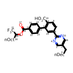 CCCCCCCCCCCc1cnc(-c2ccc(C(=O)O)c(-c3ccc(C(=O)OC(CCCCCCCC)C(F)(F)F)cc3)c2)nc1